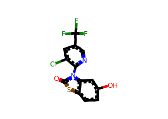 O=c1sc2ccc(O)cc2n1-c1ncc(C(F)(F)F)cc1Cl